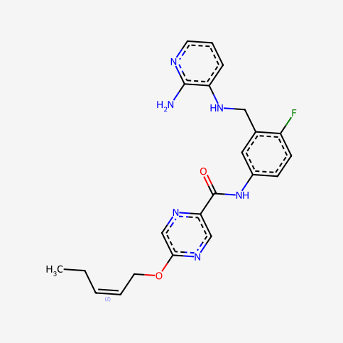 CC/C=C\COc1cnc(C(=O)Nc2ccc(F)c(CNc3cccnc3N)c2)cn1